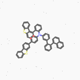 c1cc(-c2ccccc2-c2cccc3ccccc23)cc(N(c2ccc(-c3ccc4c(c3)sc3ccccc34)cc2)c2ccccc2-c2cccc3sc4ccccc4c23)c1